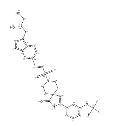 O=C1NC(c2cccc(OC(F)(F)F)c2)=NC12CCN(S(=O)(=O)C=Cc1ccc3c(ccn3C[C@H](O)CO)c1)CC2